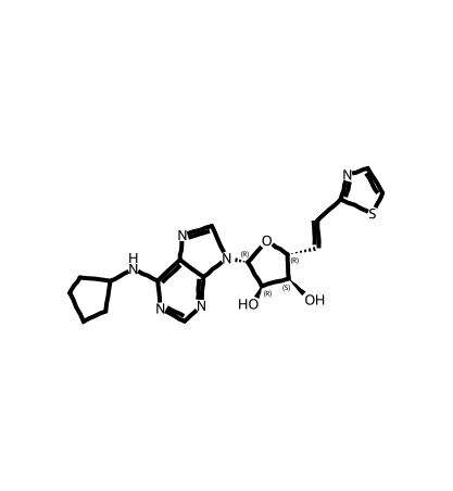 O[C@@H]1[C@H](O)[C@@H](C=Cc2nccs2)O[C@H]1n1cnc2c(NC3CCCC3)ncnc21